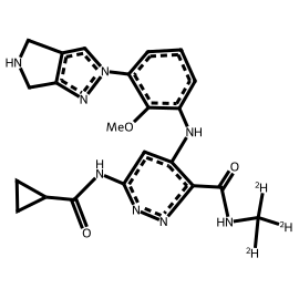 [2H]C([2H])([2H])NC(=O)c1nnc(NC(=O)C2CC2)cc1Nc1cccc(-n2cc3c(n2)CNC3)c1OC